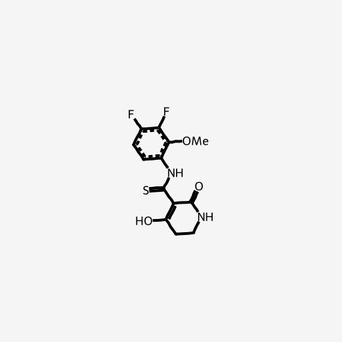 COc1c(NC(=S)C2=C(O)CCNC2=O)ccc(F)c1F